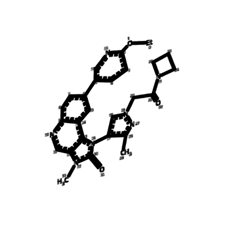 CCOc1ccc(-c2ccc3ncc4c(c3c2)n(-c2cn(CC(=O)N3CCC3)nc2C)c(=O)n4C)cn1